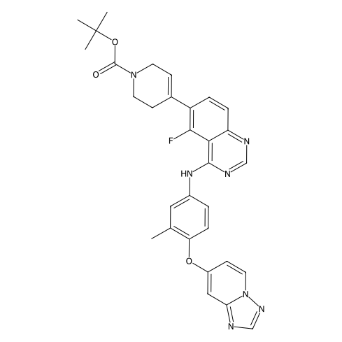 Cc1cc(Nc2ncnc3ccc(C4=CCN(C(=O)OC(C)(C)C)CC4)c(F)c23)ccc1Oc1ccn2ncnc2c1